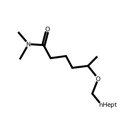 CCCCCCCCOC(C)CCCC(=O)N(C)C